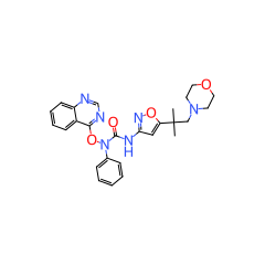 CC(C)(CN1CCOCC1)c1cc(NC(=O)N(Oc2ncnc3ccccc23)c2ccccc2)no1